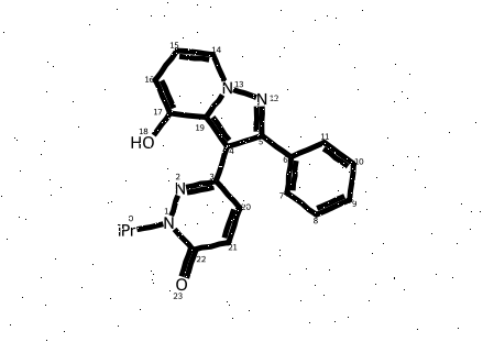 CC(C)n1nc(-c2c(-c3ccccc3)nn3cccc(O)c23)ccc1=O